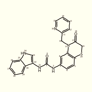 O=C(Nc1ccc2c(c1)N(Cc1ccccn1)C(=O)CS2)Nc1c[nH]c2ccccc12